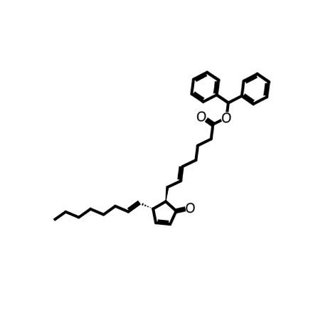 CCCCCCC=C[C@H]1C=CC(=O)[C@@H]1CC=CCCCC(=O)OC(c1ccccc1)c1ccccc1